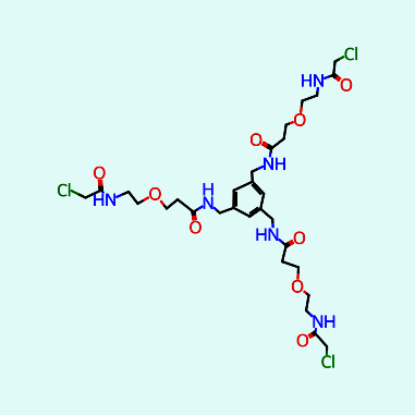 O=C(CCl)NCCOCCC(=O)NCc1cc(CNC(=O)CCOCCNC(=O)CCl)cc(CNC(=O)CCOCCNC(=O)CCl)c1